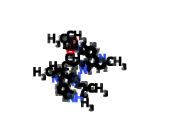 Cc1ccc(-c2cnn(CCC(C)C)c2)c(-c2ccc3c(c2)CN(C(=O)OC(C)(C)C)C3)n1.Cc1ccc(-c2cnn(CCC(C)C)c2)c(-c2ccc3c(c2)CNC3)n1